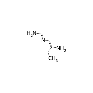 CC/C(N)=C\N=C\N